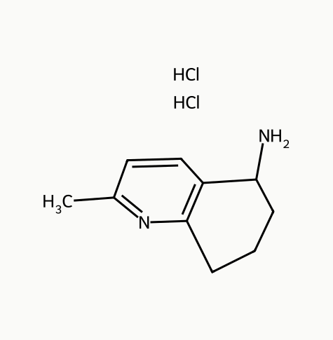 Cc1ccc2c(n1)CCCC2N.Cl.Cl